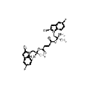 CCc1cc2cc(F)ccc2n1C[C@@](C)(N)OC(=O)/C=C/C(=O)O[C@](C)(N)Cn1c(CC)cc2cc(F)ccc21